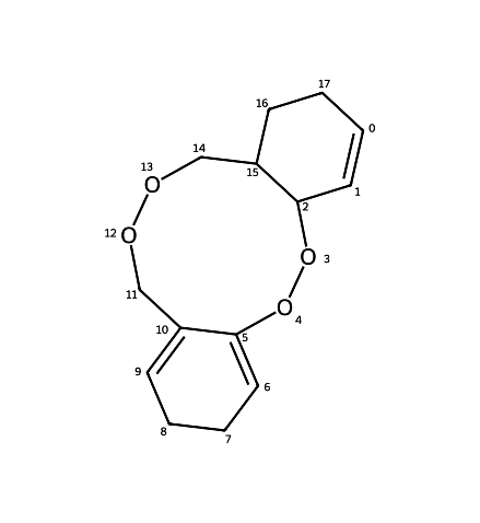 C1=CC2OOC3=CCCC=C3COOCC2CC1